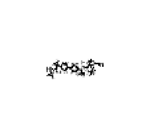 CC(C)(F)C[C@H](N[C@@H](c1ccc(-c2ccc(C3(C(=O)NC4CC4)CC3)cc2)cc1)C(F)(F)F)C(=O)NCC#N